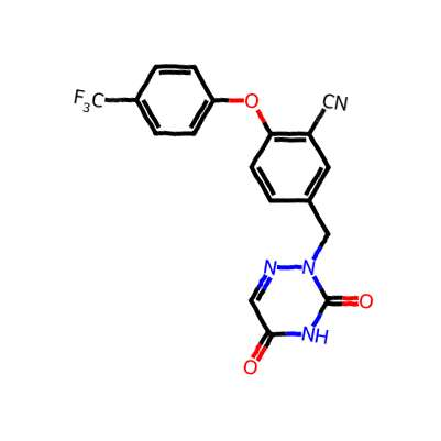 N#Cc1cc(Cn2ncc(=O)[nH]c2=O)ccc1Oc1ccc(C(F)(F)F)cc1